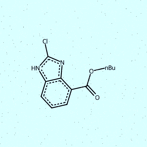 CCCCOC(=O)c1cccc2[nH]c(Cl)nc12